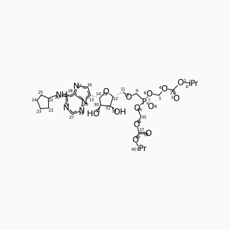 CC(C)OC(=O)OCOP(=O)(COC[C@H]1O[C@@H](c2cnc3c(NC4CCCC4)ncnn23)[C@H](O)[C@@H]1O)OCOC(=O)OC(C)C